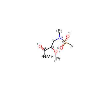 CCN(CC(OC(C)C)C(=O)NC)S(C)(=O)=O